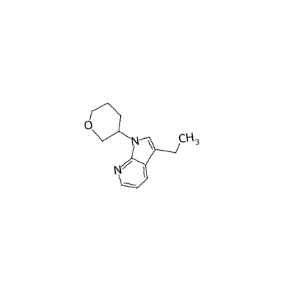 CCc1cn(C2CCCOC2)c2ncccc12